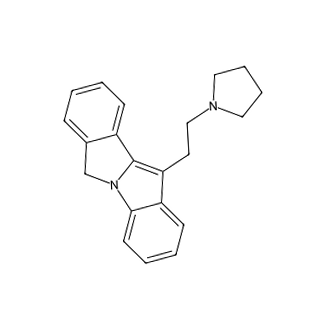 c1ccc2c(c1)Cn1c-2c(CCN2CCCC2)c2ccccc21